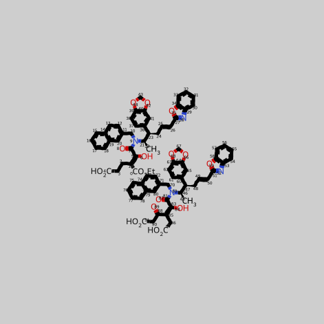 CCOC(=O)C(CCC(=O)O)=C(O)C(=O)N(Cc1ccc2ccccc2c1)[C@H](C)[C@H](CC=Cc1nc2ccccc2o1)c1ccc2c(c1)OCO2.C[C@H]([C@H](CC=Cc1nc2ccccc2o1)c1ccc2c(c1)OCO2)N(Cc1ccc2ccccc2c1)C(=O)C(O)=C(CC(=O)O)C(=O)CC(=O)O